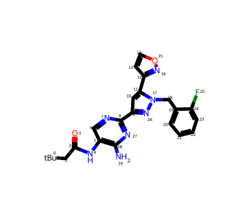 CC(C)(C)CC(=O)Nc1cnc(-c2cc(-c3ccon3)n(Cc3ccccc3F)n2)nc1N